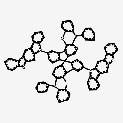 c1ccc(B2c3ccccc3Oc3c2ccc2c3-c3cc(-n4c5ccccc5c5cc6c(cc54)sc4ccccc46)ccc3C23c2ccc(-n4c5ccccc5c5cc6sc7ccccc7c6cc54)cc2-c2c3ccc3c2Oc2ccccc2B3c2ccccc2)cc1